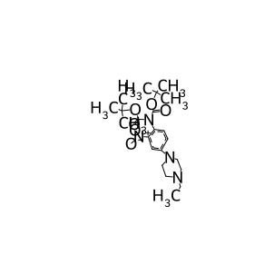 CCN1CCN(c2ccc(N(C(=O)OC(C)(C)C)C(=O)OC(C)(C)C)c([N+](=O)[O-])c2)CC1